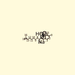 Cc1ccc(CCCCCCCCCC(C)C)c(S(=O)(=O)O)c1C.[Na]